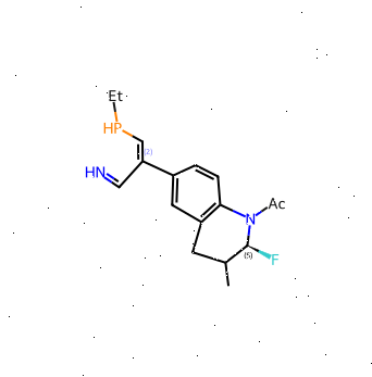 CCP/C=C(\C=N)c1ccc2c(c1)CC(C)[C@H](F)N2C(C)=O